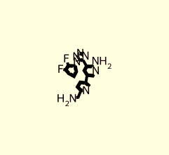 NCc1ccc(-c2cnc(N)c(-c3nnnn3-c3cccc(F)c3F)c2)cn1